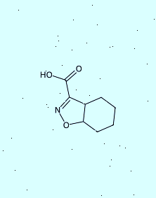 O=C(O)C1=NOC2CCCCC12